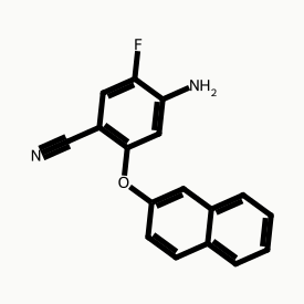 N#Cc1cc(F)c(N)cc1Oc1ccc2ccccc2c1